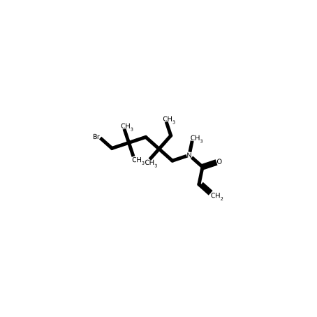 C=CC(=O)N(C)CC(C)(CC)CC(C)(C)CBr